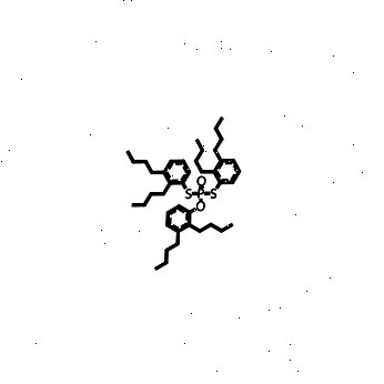 CCCCc1cccc(OP(=O)(Sc2cccc(CCCC)c2CCCC)Sc2cccc(CCCC)c2CCCC)c1CCCC